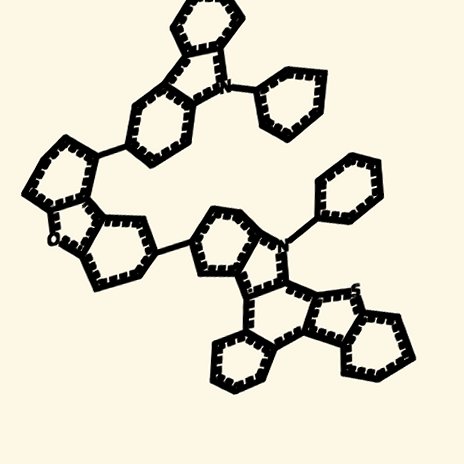 c1ccc(-n2c3ccccc3c3cc(-c4cccc5oc6ccc(-c7ccc8c(c7)c7c9ccccc9c9c%10ccccc%10sc9c7n8-c7ccccc7)cc6c45)ccc32)cc1